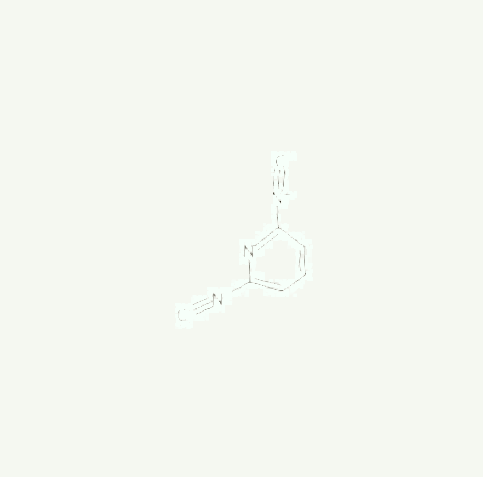 [C-]#[N+]c1cccc([N+]#[C-])n1